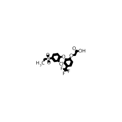 CCS(=O)(=O)c1ccc(Oc2cc(C(F)(F)F)ccc2OCC(=O)O)c(Cl)c1